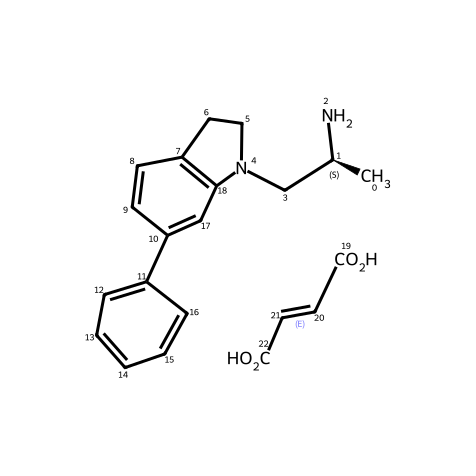 C[C@H](N)CN1CCc2ccc(-c3ccccc3)cc21.O=C(O)/C=C/C(=O)O